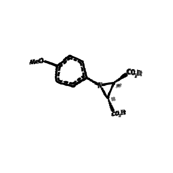 CCOC(=O)[C@@H]1[C@H](C(=O)OCC)N1c1ccc(OC)cc1